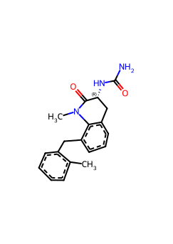 Cc1ccccc1Cc1cccc2c1N(C)C(=O)[C@H](NC(N)=O)C2